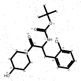 CC(C)(C)OC(=O)NC(Cc1ccccc1Cl)C(=O)N1CCC(O)CC1